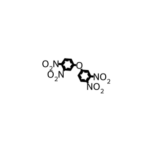 O=[N+]([O-])c1ccc(Oc2ccc([N+](=O)[O-])c([N+](=O)[O-])c2)cc1[N+](=O)[O-]